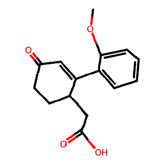 COc1ccccc1C1=CC(=O)CCC1CC(=O)O